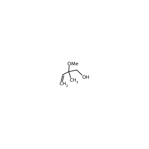 C=CC(C)(CO)OC